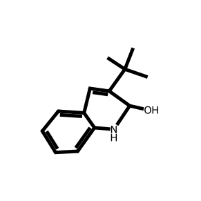 CC(C)(C)C1=Cc2ccccc2NC1O